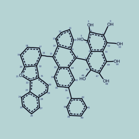 Oc1c(O)c(O)c2c(-c3c4ccccc4c(-c4cccc5oc6c7ccccc7ccc6c45)c4ccc(-c5ccccc5)cc34)c(O)c(O)c(O)c2c1O